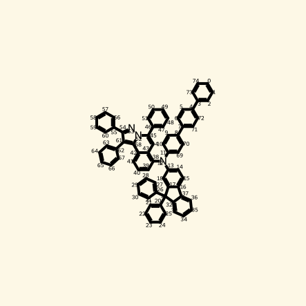 c1ccc(-c2ccc(-c3ccc(N(c4ccc5c(c4)C(c4ccccc4)(c4ccccc4)c4ccccc4-5)c4cccc5c4cc(-c4ccccc4)n4nc(-c6ccccc6)c(-c6ccccc6)c54)cc3)cc2)cc1